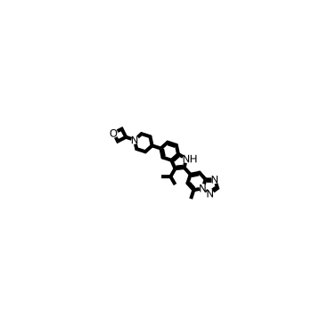 Cc1cc(-c2[nH]c3ccc(C4CCN(C5COC5)CC4)cc3c2C(C)C)cc2ncnn12